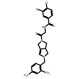 Cc1ccc(CN2C=C3CN(C(=O)CNC(=O)c4ccc(Cl)c(Cl)c4)CC3C2)c(C)c1